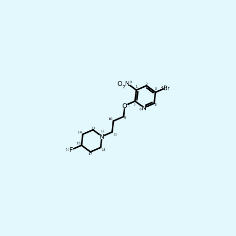 O=[N+]([O-])c1cc(Br)cnc1OCCCN1CCC(F)CC1